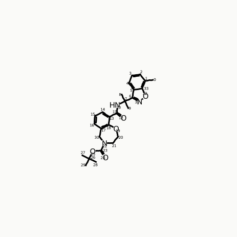 Cc1cccc2c(C(C)(C)NC(=O)c3cccc4c3OCCN(C(=O)OC(C)(C)C)C4)noc12